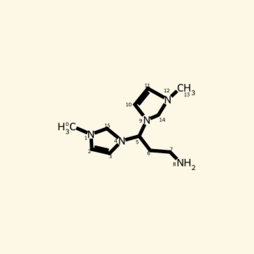 CN1C=CN(C(CCN)N2C=CN(C)C2)C1